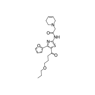 CCCOCCCC(=O)c1sc(NC(=O)CN2CC=CCC2)nc1-c1ccco1